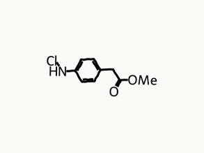 COC(=O)Cc1ccc(NCl)cc1